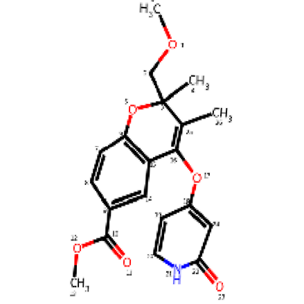 COCC1(C)Oc2ccc(C(=O)OC)cc2C(Oc2cc[nH]c(=O)c2)=C1C